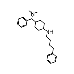 CN(C)C(c1ccccc1)C1CCC(NCCCCc2ccccc2)CC1